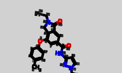 Cc1ccc(Oc2cc(C(=O)Nc3ccn(C)n3)cc3c2CN(CC(C)C)C3=O)cc1